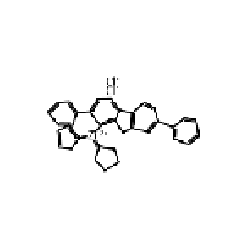 C1=CC[C]([Zr+2](=[C]2CCCC2)[c]2c(-c3ccccc3)ccc3c2Cc2cc(-c4ccccc4)ccc2-3)=C1.[Cl-].[Cl-]